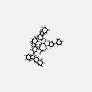 CCC1C(c2ccc(-c3ccccc3)cc2)CC[C@@H](C)/C(c2cc(-n3c4ccccc4c4cc5ccccc5cc43)cc3oc4ccccc4c23)=N\C1c1ccc2sc3ccccc3c2c1